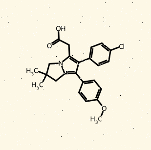 COc1ccc(-c2c(-c3ccc(Cl)cc3)c(CC(=O)O)n3c2CC(C)(C)C3)cc1